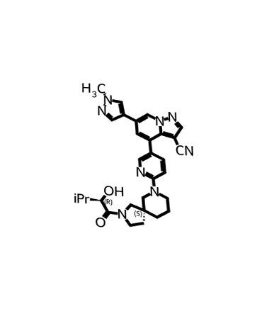 CC(C)[C@@H](O)C(=O)N1CC[C@]2(CCCN(c3ccc(-c4cc(-c5cnn(C)c5)cn5ncc(C#N)c45)cn3)C2)C1